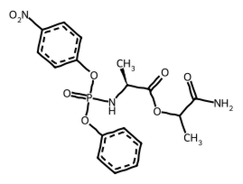 CC(OC(=O)[C@H](C)NP(=O)(Oc1ccccc1)Oc1ccc([N+](=O)[O-])cc1)C(N)=O